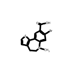 CN1CCc2ccsc2-c2cc(C(=O)O)c(Br)cc21